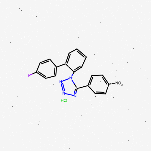 Cl.O=[N+]([O-])c1ccc(-c2nnnn2-c2ccccc2-c2ccc(I)cc2)cc1